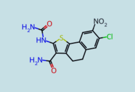 NC(=O)Nc1sc2c(c1C(N)=O)CCc1cc(Cl)c([N+](=O)[O-])cc1-2